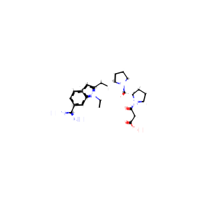 CCn1c(CC[C@@H]2CCCN2C(=O)[C@H]2CCCN2C(=O)CC(=O)O)cc2ccc(C(=N)N)cc21